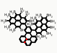 Bc1c(B)c2c(B)c(B)c3c(B)c(B)c(-c4cc(-c5ccccc5)c(-c5cccc6ccccc56)c(-c5c(B)c(B)c6c(B)c(B)c7c(B)c(B)c(B)c8c(B)c(B)c5c6c78)c4)c4c(B)c(B)c(c1B)c2c34